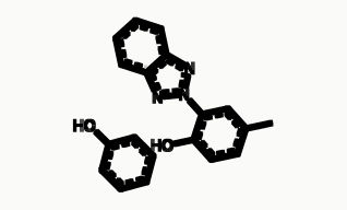 Cc1ccc(O)c(-n2nc3ccccc3n2)c1.Oc1ccccc1